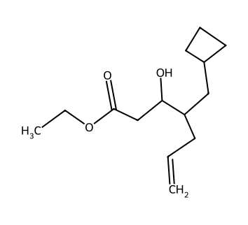 C=CCC(CC1CCC1)C(O)CC(=O)OCC